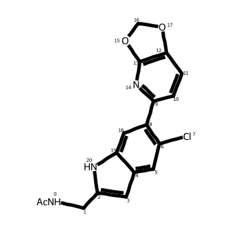 CC(=O)NCc1cc2cc(Cl)c(-c3ccc4c(n3)OCO4)cc2[nH]1